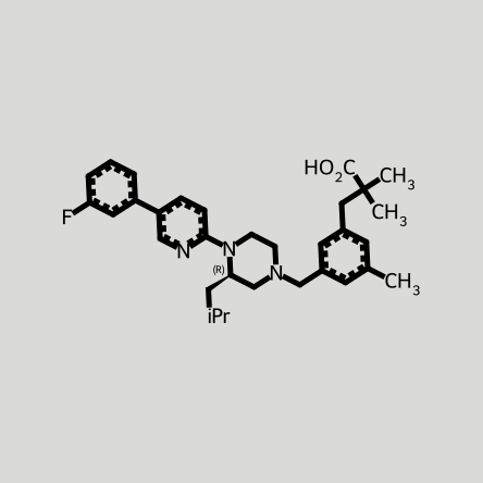 Cc1cc(CN2CCN(c3ccc(-c4cccc(F)c4)cn3)[C@H](CC(C)C)C2)cc(CC(C)(C)C(=O)O)c1